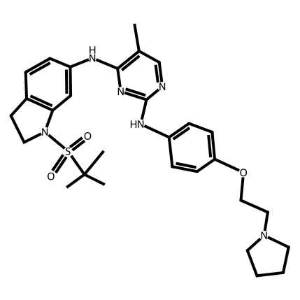 Cc1cnc(Nc2ccc(OCCN3CCCC3)cc2)nc1Nc1ccc2c(c1)N(S(=O)(=O)C(C)(C)C)CC2